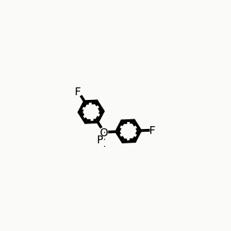 Fc1ccc(Oc2ccc(F)cc2)cc1.[P]